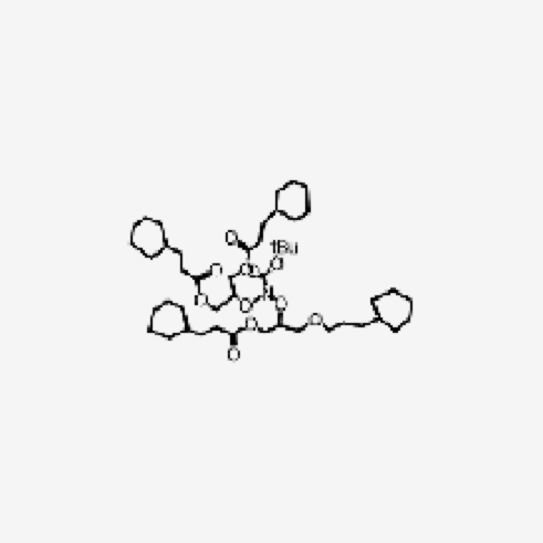 CC(C)(C)OC(=O)N(OC(COCCCC1CCCCC1)COC(=O)CCC1CCCCC1)OC(COC(=O)CCC1CCCCC1)COC(=O)CCC1CCCCC1